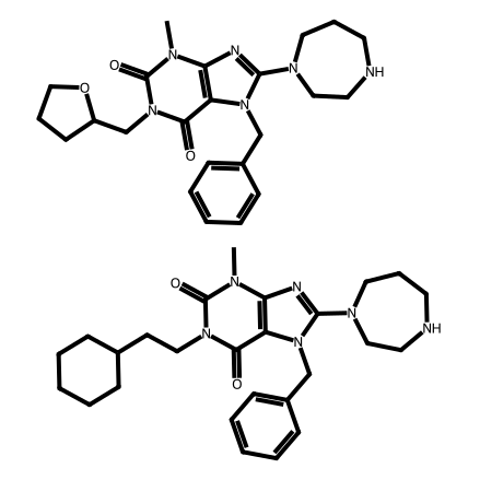 Cn1c(=O)n(CC2CCCO2)c(=O)c2c1nc(N1CCCNCC1)n2Cc1ccccc1.Cn1c(=O)n(CCC2CCCCC2)c(=O)c2c1nc(N1CCCNCC1)n2Cc1ccccc1